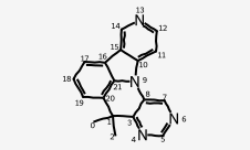 CC1(C)c2ncncc2-n2c3ccncc3c3cccc1c32